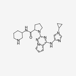 O=C(NC1CCCNC1)C1CCCN1c1nc(Nc2cn(C3CC3)cn2)c2cccn2n1